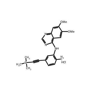 COc1cc2ncnc(Nc3cc(C#C[Si](C)(C)C)ccc3C)c2cc1OC.Cl